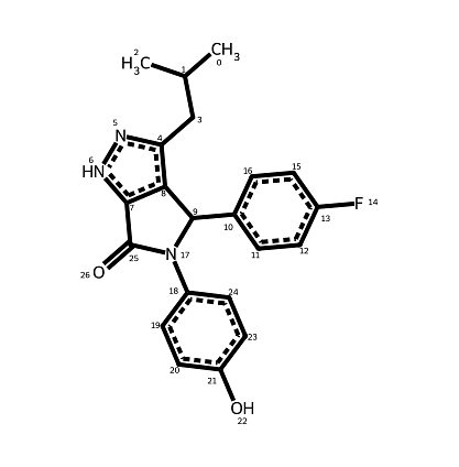 CC(C)Cc1n[nH]c2c1C(c1ccc(F)cc1)N(c1ccc(O)cc1)C2=O